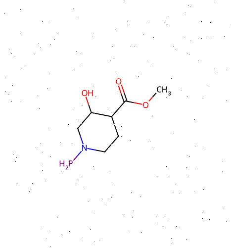 COC(=O)C1CCN(P)CC1O